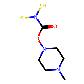 CN1CCN(OC(=O)N(S)S)CC1